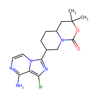 CC1(C)CC2CCC(c3nc(Br)c4c(N)nccn34)CN2C(=O)O1